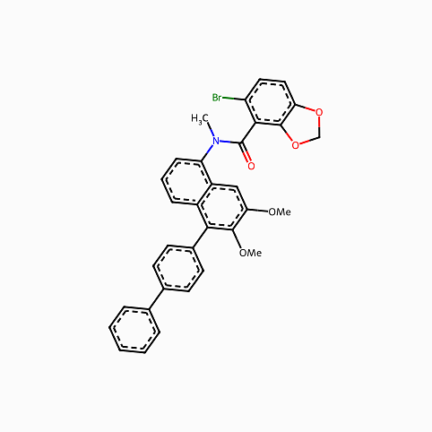 COc1cc2c(N(C)C(=O)c3c(Br)ccc4c3OCO4)cccc2c(-c2ccc(-c3ccccc3)cc2)c1OC